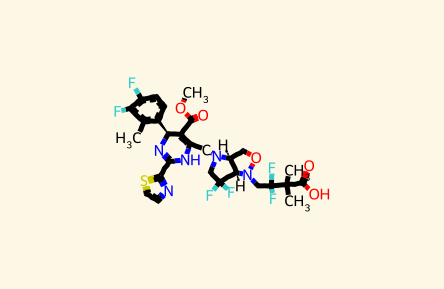 COC(=O)C1=C(CN2CC(F)(F)[C@H]3[C@@H]2CON3CC(F)(F)C(C)(C)C(=O)O)NC(c2nccs2)=N[C@H]1c1ccc(F)c(F)c1C